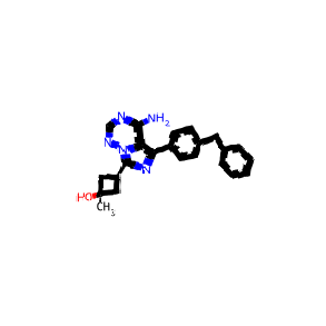 C[C@]1(O)C[C@@H](c2nc(-c3ccc(Cc4ccccc4)cc3)c3c(N)ncnn32)C1